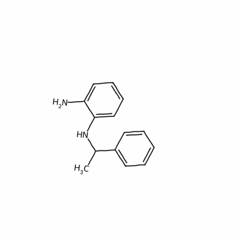 CC(Nc1ccccc1N)c1ccccc1